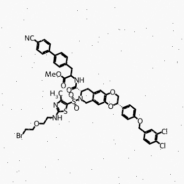 COC(=O)C(Cc1ccc(-c2ccc(C#N)cc2)cc1)NC(=O)[C@@H]1Cc2cc3c(cc2CN1S(=O)(=O)c1sc(NCCOCCBr)nc1C)O[C@@H](c1ccc(OCc2ccc(Cl)c(Cl)c2)cc1)CO3